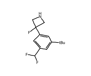 CC(C)(C)c1cc(C(F)F)cc(C2(F)CNC2)c1